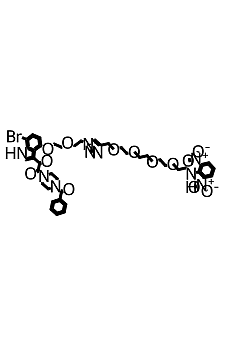 O=C(C(=O)N1CCN(C(=O)c2ccccc2)CC1)c1c[nH]c2c(Br)ccc(OCCOCCn3cc(COCCOCCOCCOCCNc4c([N+](=O)[O-])cccc4[N+](=O)[O-])nn3)c12